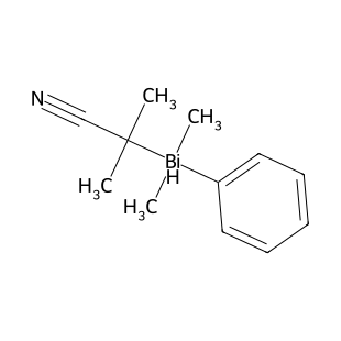 C[C](C)(C#N)[BiH]([CH3])([CH3])[c]1ccccc1